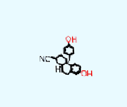 N#C/C=C1/CC[C@@]2(Cc3ccc(O)cc3)c3ccc(O)cc3CC[C@H]2C1